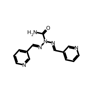 NC(=O)N(N=Cc1cccnc1)N=Cc1cccnc1